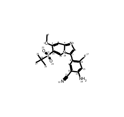 COc1cc2ncc(-c3cc(C#N)c(N)cc3F)n2cc1S(=O)(=O)C(C)(C)C